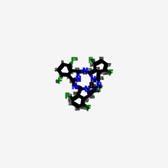 Fc1ccc(F)c2c1C1=NC/2=N\c2c3c(F)ccc(F)c3c3n2B(Cl)n2c(c4c(F)ccc(F)c4/c2=N/1)=N3